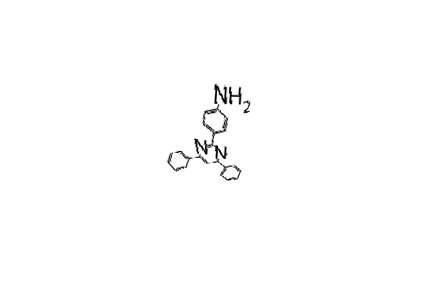 Nc1ccc(-c2nc(-c3ccccc3)cc(-c3ccccc3)n2)cc1